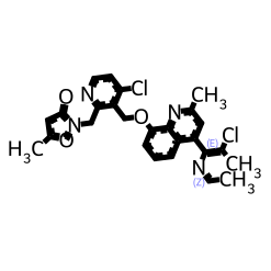 C/C=N\C(=C(/C)Cl)c1cc(C)nc2c(OCc3c(Cl)ccnc3Cn3oc(C)cc3=O)cccc12